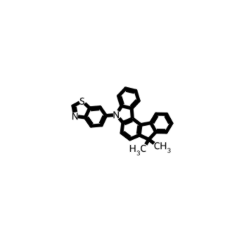 CC1(C)c2ccccc2-c2c1ccc1c2c2ccccc2n1-c1ccc2ncsc2c1